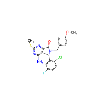 COc1ccc(CN2C(=O)c3nc(SC)nc(N)c3C2c2cc(F)ccc2Cl)cc1